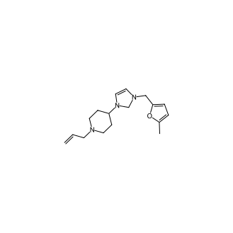 C=CCN1CCC(N2C=CN(Cc3ccc(C)o3)C2)CC1